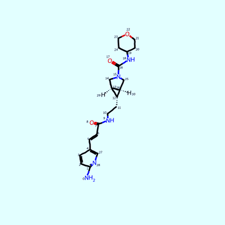 Nc1ccc(/C=C/C(=O)NCC[C@@H]2[C@H]3CN(C(=O)NC4CCOCC4)C[C@@H]23)cn1